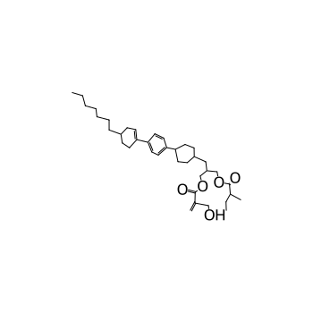 C=C(CO)C(=O)OCC(COC(=O)C(C)CC)CC1CCC(c2ccc(C3=CCC(CCCCCCC)CC3)cc2)CC1